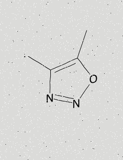 [CH2]c1nnoc1C